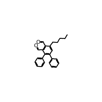 CCCCCc1cc(-c2ccccc2)c(-c2ccccc2)c(C=O)c1C=O